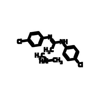 C/C(=N\c1ccc(Cl)cc1)Nc1ccc(Cl)cc1.[CH3][AlH][CH3]